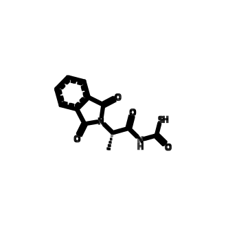 C[C@@H](C(=O)NC(=O)S)N1C(=O)c2ccccc2C1=O